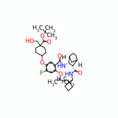 CC(C)Oc1cc(F)c(OC2CCC(CO)(C(=O)OC(C)(C)C)CC2)cc1C(=O)N[C@@H]1[C@H]2CC[C@H](C2)[C@@H]1C(=O)NCC1(C)CCC1